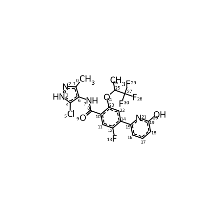 Cc1n[nH]c(Cl)c1NC(=O)c1cc(F)c(-c2cccc(O)n2)cc1OC(C)C(F)(F)F